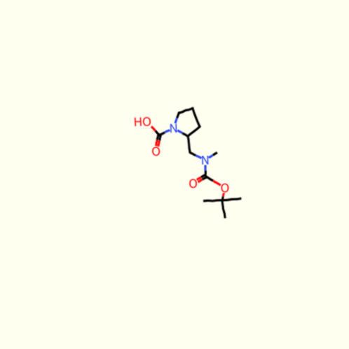 CN(CC1CCCN1C(=O)O)C(=O)OC(C)(C)C